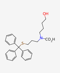 O=C(O)N(CCCCO)CCCSC(c1ccccc1)(c1ccccc1)c1ccccc1